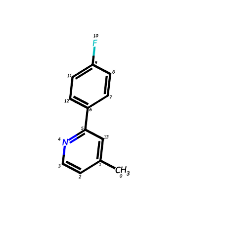 Cc1ccnc(-c2ccc(F)cc2)c1